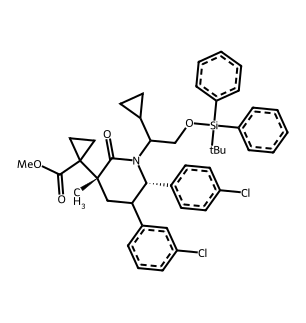 COC(=O)C1([C@@]2(C)CC(c3cccc(Cl)c3)[C@@H](c3ccc(Cl)cc3)N(C(CO[Si](c3ccccc3)(c3ccccc3)C(C)(C)C)C3CC3)C2=O)CC1